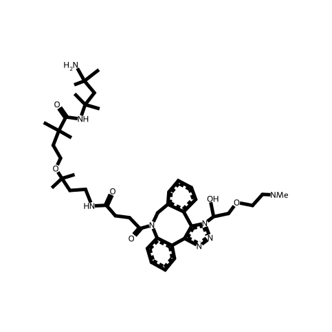 CNCCOCC(O)n1nnc2c1-c1ccccc1CN(C(=O)CCC(=O)NCCC(C)(C)OCCC(C)(C)C(=O)NC(C)(C)CC(C)(C)N)c1ccccc1-2